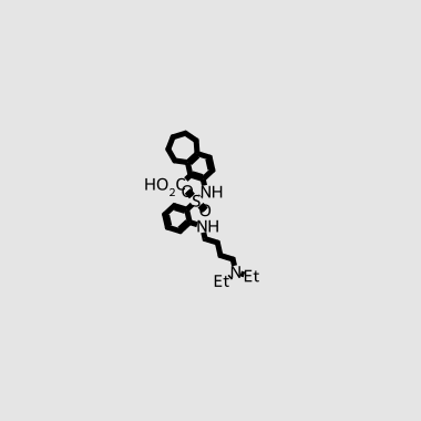 CCN(CC)CCCCNc1ccccc1S(=O)(=O)Nc1ccc2c(c1C(=O)O)CCCCC2